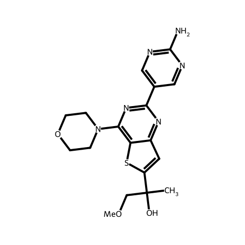 COCC(C)(O)c1cc2nc(-c3cnc(N)nc3)nc(N3CCOCC3)c2s1